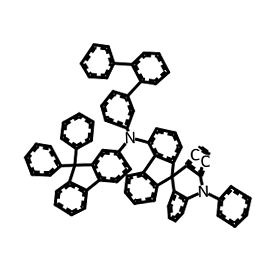 c1ccc(-c2ccccc2-c2cccc(N(c3ccc4c(c3)C(c3ccccc3)(c3ccccc3)c3ccccc3-4)c3cccc4c3-c3ccccc3C43c4ccccc4N(c4ccccc4)c4ccccc43)c2)cc1